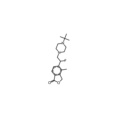 Cc1c(C(F)CN2CCN(C(C)(C)C)CC2)ccc2c1COC2=O